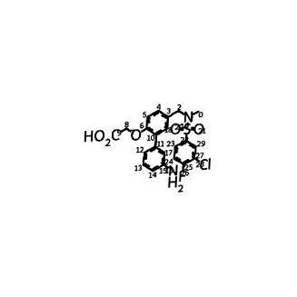 CN(Cc1ccc(OCC(=O)O)c(-c2cccc(N)c2)c1)S(=O)(=O)c1ccc(F)c(Cl)c1